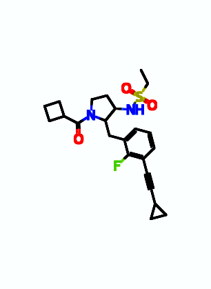 CCS(=O)(=O)NC1CCN(C(=O)C2CCC2)C1Cc1cccc(C#CC2CC2)c1F